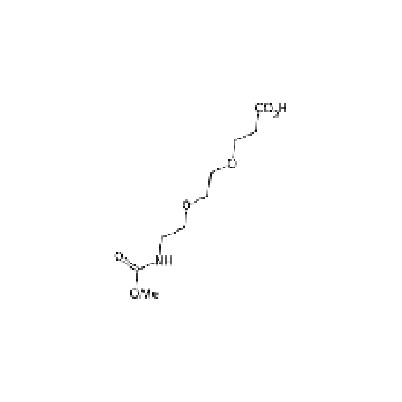 COC(=O)NCCOCCOCCC(=O)O